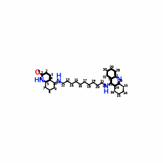 O=c1ccc2c([nH]1)CCC[C@H]2NCCCCCCCCCCNc1c2c(nc3ccccc13)CCCC2